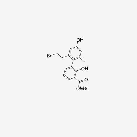 COC(=O)c1cccc(-c2c(C)cc(O)cc2CCBr)c1O